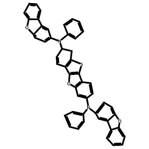 C1=CC(N(c2ccccc2)c2ccc3oc4ccccc4c3c2)Cc2sc3c(oc4cc(N(c5ccccc5)c5ccc6oc7ccccc7c6c5)ccc43)c21